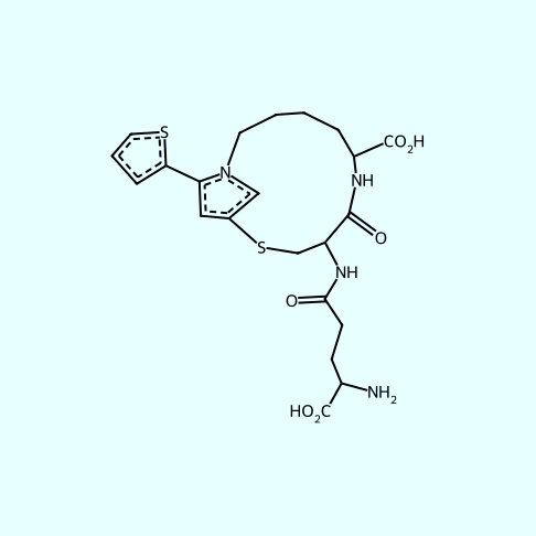 NC(CCC(=O)NC1CSc2cc(-c3cccs3)n(c2)CCCCC(C(=O)O)NC1=O)C(=O)O